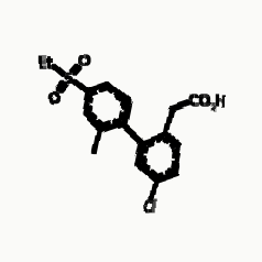 CCS(=O)(=O)c1ccc(-c2cc(Cl)ccc2CC(=O)O)c(C)c1